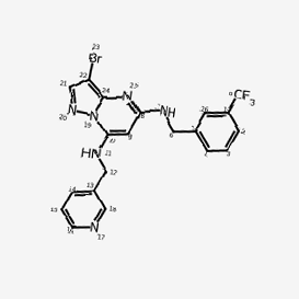 FC(F)(F)c1cccc(CNc2cc(NCc3cccnc3)n3ncc(Br)c3n2)c1